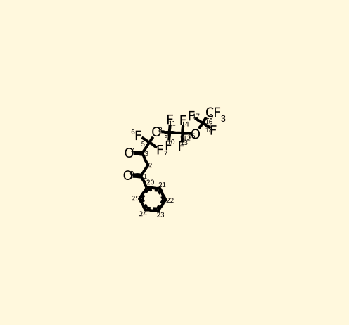 O=C(CC(=O)C(F)(F)OC(F)(F)C(F)(F)OC(F)(F)C(F)(F)F)c1ccccc1